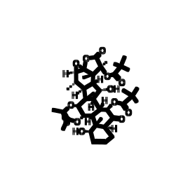 CC(=O)O[C@H]1[C@H]2[C@H]([C@@H]3[C@@H](O)[C@@H]4[C@H]([C@H](C)[C@H]5O[C@]56OC(=O)[C@@](C)(OC(=O)C(C)(C)C)[C@]46C)[C@@]3(C)[C@H]1OC(C)=O)[C@@H](OC(=O)C(C)(C)C)C(=O)[C@H]1CC=C[C@H](O)[C@]21C